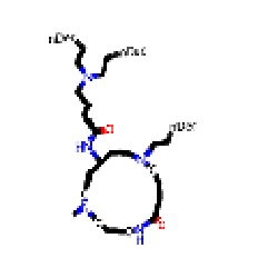 CCCCCCCCCCCCN(CCCCCCCCCCCC)CCCC(=O)NC1CCN(C)CCCNC(=O)CCCN(CCCCCCCCCCCC)CC1